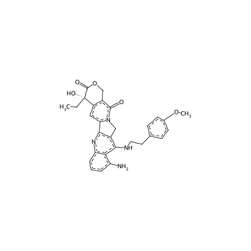 CC[C@@]1(O)C(=O)OCc2c1cc1n(c2=O)Cc2c-1nc1cccc(N)c1c2NCCc1ccc(OC)cc1